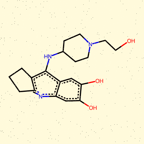 OCCN1CCC(Nc2c3c(nc4cc(O)c(O)cc24)CCC3)CC1